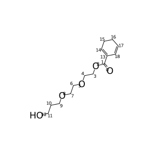 O=C(OCCOCCOCCCO)C1=CCCC=C1